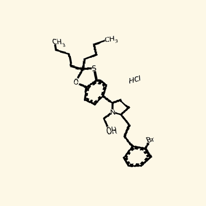 CCCCC1(CCCC)Oc2ccc(C3CCC(CCc4ccccc4Br)N3CO)cc2S1.Cl